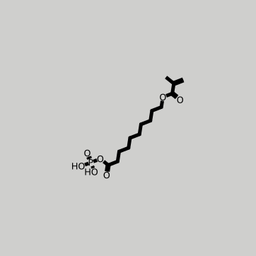 C=C(C)C(=O)OCCCCCCCCCC(=O)OP(=O)(O)O